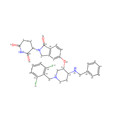 O=C1CCC(N2Cc3cc(OC4CN(Cc5c(F)cccc5F)CCC4NCc4ccccc4)ccc3C2=O)C(=O)N1